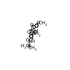 COc1ccc2c(c1)C(=O)N(C[C@](C=O)(NC(N)=O)c1cc3cc(C(=O)NCCN(C)C)c(F)cc3o1)C2